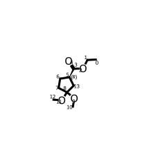 CCOC(=O)[C@@H]1CCC(OC)(OC)C1